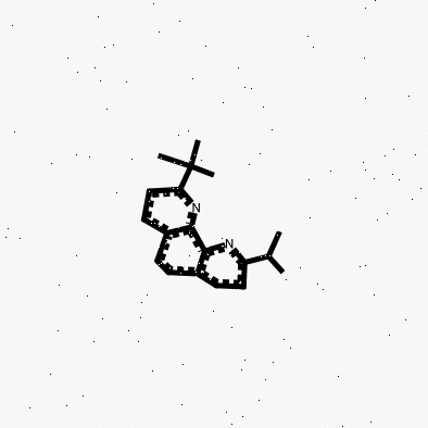 CC(C)c1ccc2ccc3ccc(C(C)(C)C)nc3c2n1